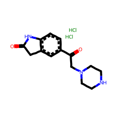 Cl.Cl.O=C1Cc2cc(C(=O)CN3CCNCC3)ccc2N1